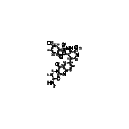 CNC(=O)C(C)Cn1cnc2ccc(-c3cnc(OC)c(NS(=O)(=O)c4cc(Cl)ccc4Cl)c3)cc2c1=O